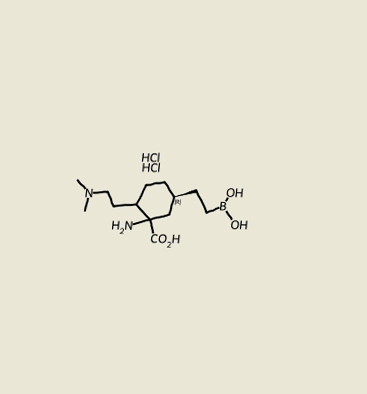 CN(C)CCC1CC[C@@H](CCB(O)O)CC1(N)C(=O)O.Cl.Cl